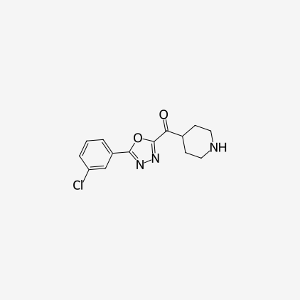 O=C(c1nnc(-c2cccc(Cl)c2)o1)C1CCNCC1